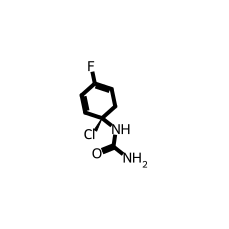 NC(=O)N[C@]1(Cl)C=CC(F)=CC1